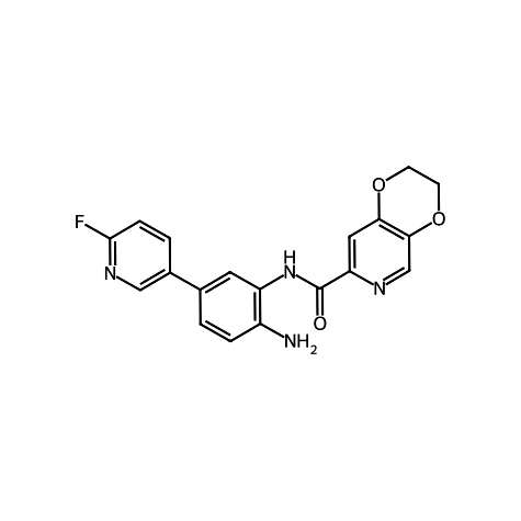 Nc1ccc(-c2ccc(F)nc2)cc1NC(=O)c1cc2c(cn1)OCCO2